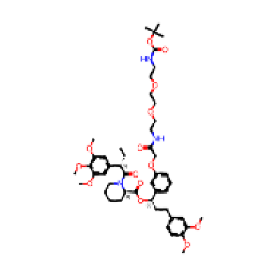 CC[C@H](C(=O)N1CCCC[C@@H]1C(=O)O[C@H](CCc1ccc(OC)c(OC)c1)c1cccc(OCC(=O)NCCOCCOCCNC(=O)OC(C)(C)C)c1)c1cc(OC)c(OC)c(OC)c1